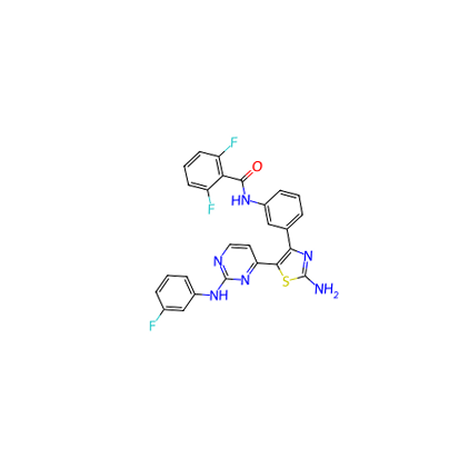 Nc1nc(-c2cccc(NC(=O)c3c(F)cccc3F)c2)c(-c2ccnc(Nc3cccc(F)c3)n2)s1